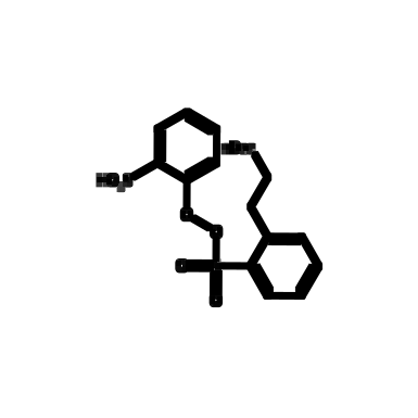 CCCCCCCCCCCCc1ccccc1S(=O)(=O)OOc1ccccc1S(=O)(=O)O